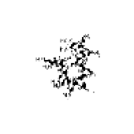 CC(C)C[C@H](NC(=O)[C@@H](CC(C)C)NC(=O)[C@H](CCN)NC(=O)[C@H](CCN)NC(=O)[C@H](CCN)NC(=O)[C@H](CCN)NC(=O)[C@@H](NC(=O)[C@@H](N)CCN)[C@@H](C)O)C(=O)N[C@@H](CCN)C(=O)N[C@@H](CCN)C(=O)N[C@H](C(=O)O)[C@@H](C)O